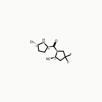 CC[C@H]1CC[C@H](C(=O)N2CC(F)(F)C[C@H]2C#N)N1